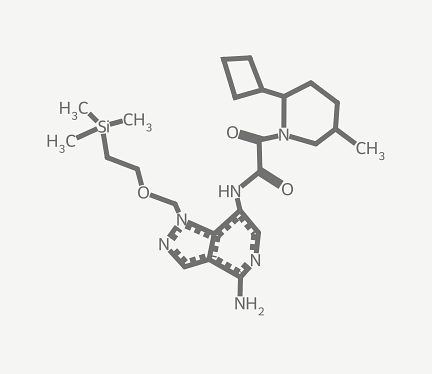 CC1CCC(C2CCC2)N(C(=O)C(=O)Nc2cnc(N)c3cnn(COCC[Si](C)(C)C)c23)C1